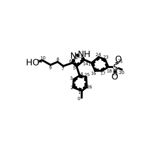 Cc1ccc(-c2c(CCCCO)n[nH]c2-c2ccc(S(C)(=O)=O)cc2)cc1